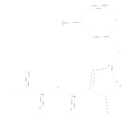 Cc1nn(Cc2cccc(Cl)c2)cc1C(=O)CC(=O)C(=O)O